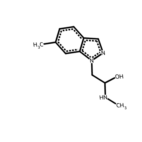 CNC(O)Cn1ncc2ccc(C)cc21